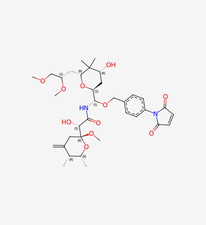 C=C1C[C@](OC)([C@H](O)C(=O)N[C@@H](OCc2ccc(N3C(=O)C=CC3=O)cc2)[C@@H]2C[C@@H](O)C(C)(C)[C@@H](C[C@@H](COC)OC)O2)O[C@H](C)[C@@H]1C